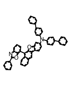 c1ccc(-c2ccc(N(c3ccc(-c4ccccc4)cc3)c3ccc4c(c3)oc3c(-c5cccc6nc(-c7ccccc7)oc56)c5ccccc5cc34)cc2)cc1